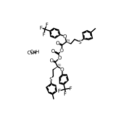 Cc1ccc(SCC[C@H](Oc2ccc(C(F)(F)F)cc2)C(=O)OC(=O)OC(=O)[C@H](CCSc2ccc(C)cc2)Oc2ccc(C(F)(F)F)cc2)cc1.[CsH].[CsH]